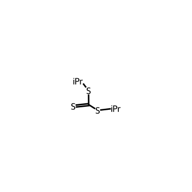 CC(C)SC(=S)SC(C)C